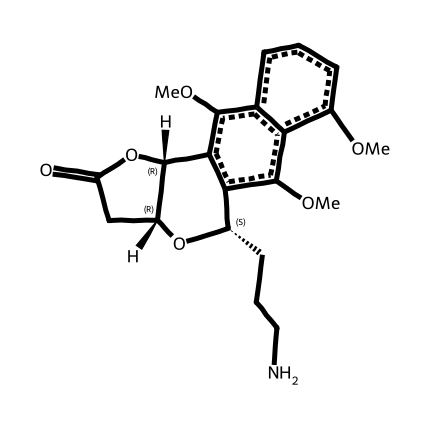 COc1c2c(c(OC)c3c(OC)cccc13)[C@H](CCCN)O[C@@H]1CC(=O)O[C@H]21